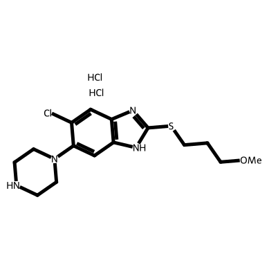 COCCCSc1nc2cc(Cl)c(N3CCNCC3)cc2[nH]1.Cl.Cl